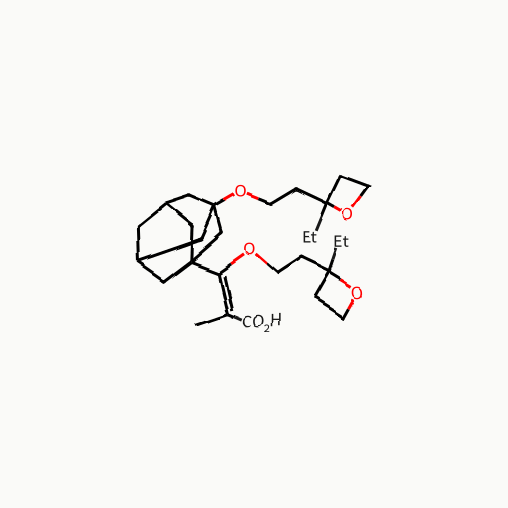 CCC1(CCOC(=C(C)C(=O)O)C23CC4CC(CC(OCCC5(CC)CCO5)(C4)C2)C3)CCO1